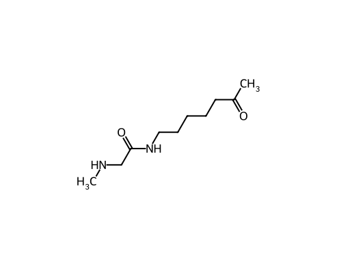 CNCC(=O)NCCCCCC(C)=O